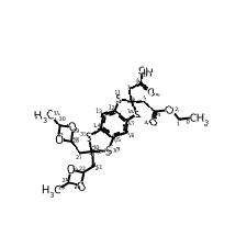 CCOC(=O)CC1(CC(=O)O)Sc2cc3c(cc2S1)SC(CC1OC(C)O1)(CC1OC(C)O1)S3